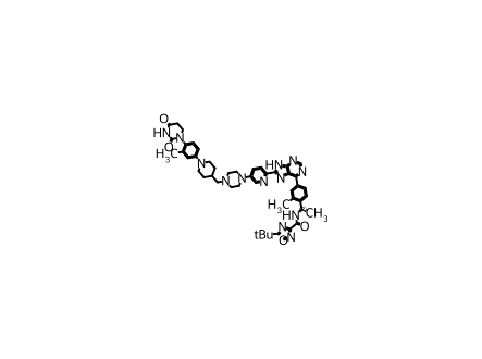 Cc1cc(-c2ncnc3[nH]c(-c4ccc(N5CCN(CC6CCN(c7ccc(N8CCC(=O)NC8=O)c(C)c7)CC6)CC5)cn4)nc23)ccc1[C@@H](C)NC(=O)c1noc(C(C)(C)C)n1